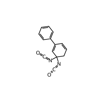 O=C=NC1(N=C=O)C=C(c2ccccc2)C=CC1